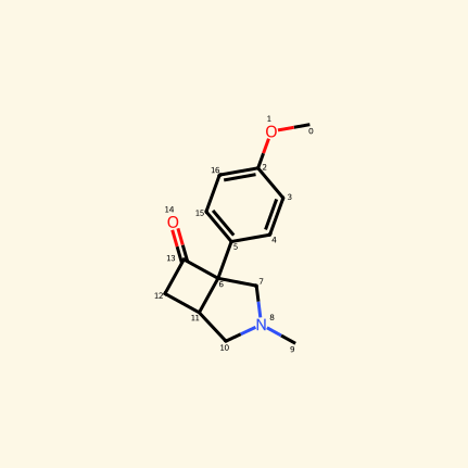 COc1ccc(C23CN(C)CC2CC3=O)cc1